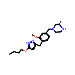 CCCCOc1cc(Cc2ccc(CN3CCN[C@H](C)C3)cc2OC)n[nH]1